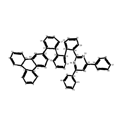 C1=CC2c3ccccc3-c3ccc(-c4ccccc4-c4ccccc4-c4ccccc4-c4nc(-c5ccccc5)cc(-c5ccccc5)n4)cc3C2C=C1